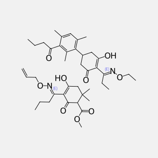 C=CCO/N=C(\CCC)C1=C(O)CC(C)(C)C(C(=O)OC)C1=O.CCCC(=O)c1c(C)cc(C)c(C2CC(=O)C(/C(CC)=N/OCC)=C(O)C2)c1C